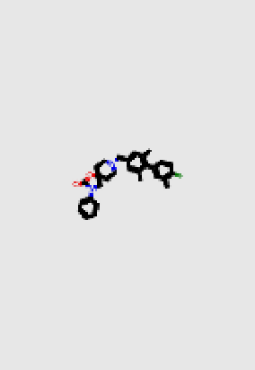 Cc1cc(-c2c(C)cc(CN3CCC4(CC3)CN(c3ccccc3)C(=O)O4)cc2C)ccc1F